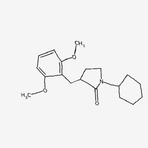 COc1cccc(OC)c1CC1CCN(C2CCCCC2)C1=O